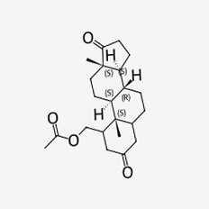 CC(=O)OCC1CC(=O)CC2CC[C@@H]3[C@H](CC[C@]4(C)C(=O)CC[C@@H]34)[C@]21C